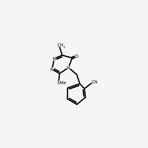 CSc1nnc(C)c(=O)n1Cc1ccccc1C#N